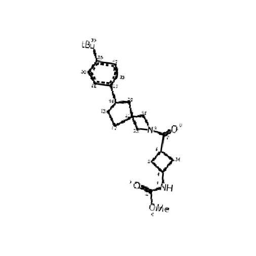 COC(=O)NC1CC(C(=O)N2CC3(CCC(c4ccc(C(C)(C)C)cc4)C3)C2)C1